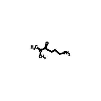 CN(C)C(=O)CCCP